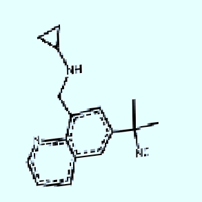 [C-]#[N+]C(C)(C)c1cc(CNC2CC2)c2ncccc2c1